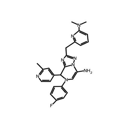 Cc1cc(C2c3nc(Cc4cccc(N(C)C)n4)nn3C(N)=CN2c2ccc(F)cc2)ccn1